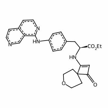 CCOC(=O)[C@H](Cc1ccc(Nc2nccc3ccncc23)cc1)NC1=CC(=O)C12CCOCC2